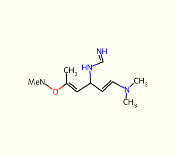 CNO/C(C)=C/C(/C=C/N(C)C)NC=N